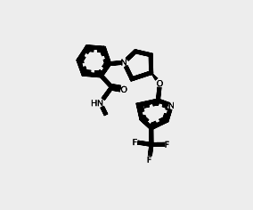 CNC(=O)c1ccccc1N1CC[C@@H](Oc2ccc(C(F)(F)F)cn2)C1